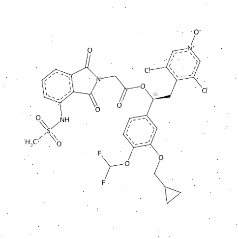 CS(=O)(=O)Nc1cccc2c1C(=O)N(CC(=O)O[C@@H](Cc1c(Cl)c[n+]([O-])cc1Cl)c1ccc(OC(F)F)c(OCC3CC3)c1)C2=O